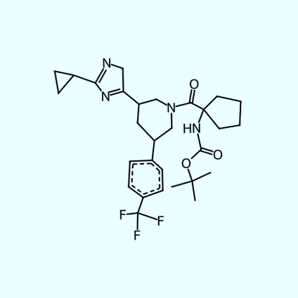 CC(C)(C)OC(=O)NC1(C(=O)N2CC(C3=NC(C4CC4)=NC3)CC(c3ccc(C(F)(F)F)cc3)C2)CCCC1